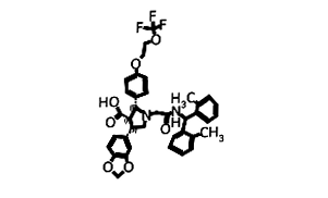 Cc1ccccc1C(NC(=O)CN1C[C@H](c2ccc3c(c2)OCO3)[C@@H](C(=O)O)[C@@H]1c1ccc(OCCOC(F)(F)F)cc1)c1ccccc1C